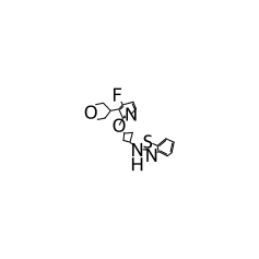 Fc1ccnc(OC2CC(Nc3nc4ccccc4s3)C2)c1C1CCOCC1